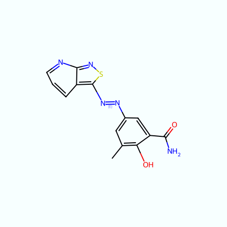 Cc1cc(/N=N/c2snc3ncccc23)cc(C(N)=O)c1O